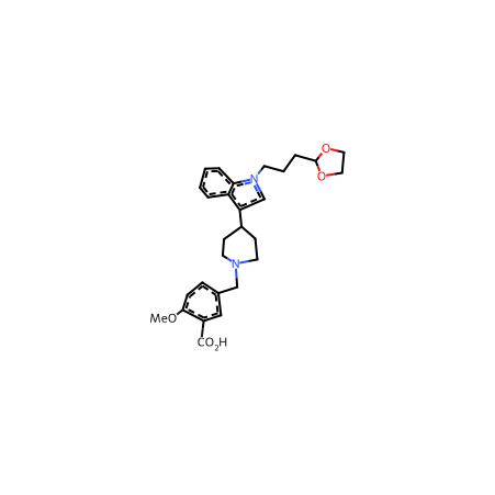 COc1ccc(CN2CCC(c3cn(CCCC4OCCO4)c4ccccc34)CC2)cc1C(=O)O